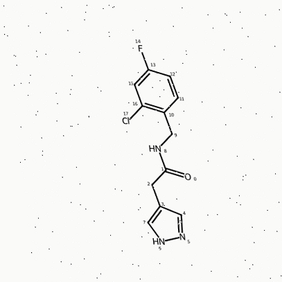 O=C(Cc1cn[nH]c1)NCc1ccc(F)cc1Cl